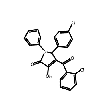 O=C(C1=C(O)C(=O)N(c2ccccc2)C1c1ccc(Cl)cc1)c1ccccc1Cl